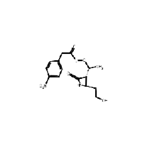 CC(OOC(=O)Cc1ccc([N+](=O)[O-])cc1)[C@H]1C(=O)N[C@@H]1CCO